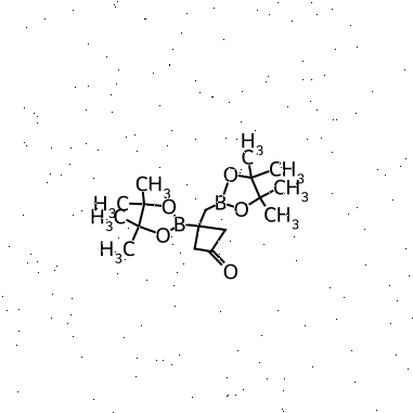 CC1(C)OB(CC2(B3OC(C)(C)C(C)(C)O3)CC(=O)C2)OC1(C)C